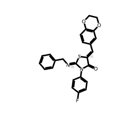 O=C1/C(=C/c2ccc3c(c2)OCCO3)S/C(=N\Cc2ccccc2)N1c1ccc(F)cc1